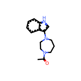 CC(=O)N1CCCN(c2c[nH]c3ccccc23)CC1